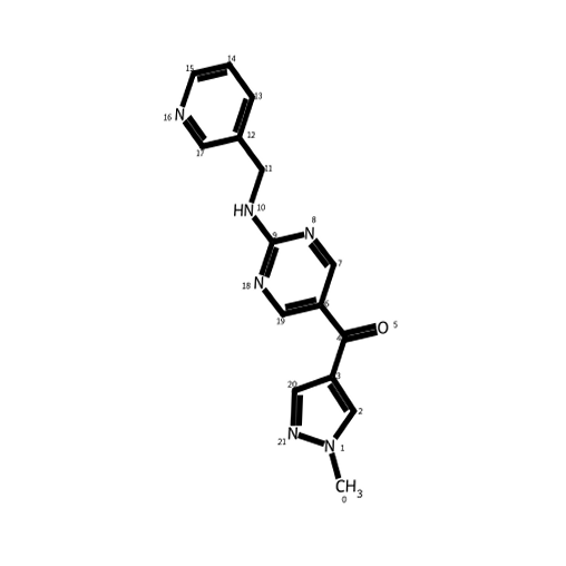 Cn1cc(C(=O)c2cnc(NCc3cccnc3)nc2)cn1